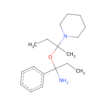 CCC(N)(OC(C)(CC)N1CCCCC1)c1ccccc1